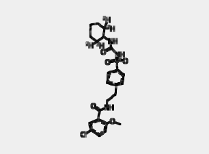 [2H]C1([2H])CCCC([2H])([2H])C1NC(=O)NS(=O)(=O)c1ccc(CCNC(=O)c2cc(Cl)ccc2OC)cc1